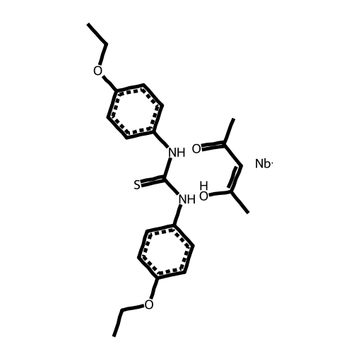 CC(=O)/C=C(/C)O.CCOc1ccc(NC(=S)Nc2ccc(OCC)cc2)cc1.[Nb]